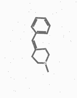 CN1CCC(=Cc2ccccc2)CC1